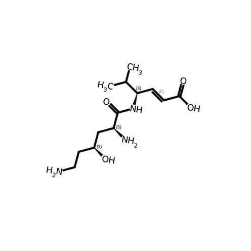 CC(C)[C@@H](/C=C/C(=O)O)NC(=O)[C@@H](N)C[C@@H](O)CCN